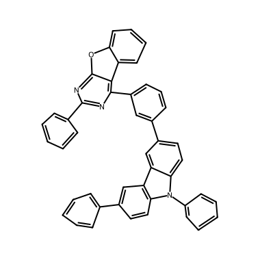 c1ccc(-c2ccc3c(c2)c2cc(-c4cccc(-c5nc(-c6ccccc6)nc6oc7ccccc7c56)c4)ccc2n3-c2ccccc2)cc1